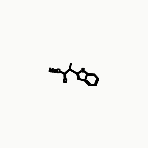 COC(=O)C(C)c1cc2ccccc2s1